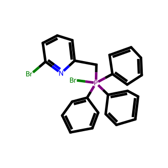 Brc1cccc(CP(Br)(c2ccccc2)(c2ccccc2)c2ccccc2)n1